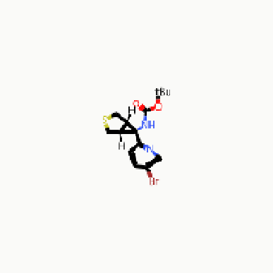 CC(C)(C)OC(=O)N[C@@]1(c2ccc(Br)cn2)[C@@H]2CSC[C@@H]21